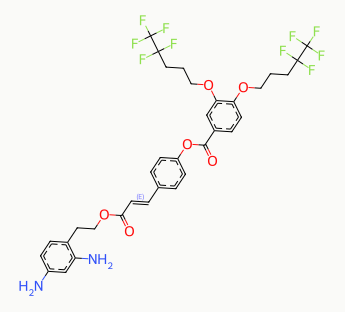 Nc1ccc(CCOC(=O)/C=C/c2ccc(OC(=O)c3ccc(OCCCC(F)(F)C(F)(F)F)c(OCCCC(F)(F)C(F)(F)F)c3)cc2)c(N)c1